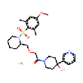 COc1cc(C)c(S(=O)(=O)N2CCCCC2COCC(=O)N2CCC(O)(c3cccnc3)CC2)c(C)c1.Cl